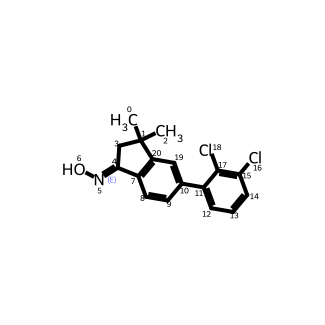 CC1(C)C/C(=N\O)c2ccc(-c3cccc(Cl)c3Cl)cc21